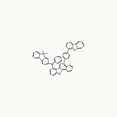 CC1(C)c2ccccc2-c2ccc(N(c3ccccc3)c3cccc4oc5c6ccccc6c(-c6ccc(-c7cccc8c7sc7ccccc78)cc6)cc5c34)cc21